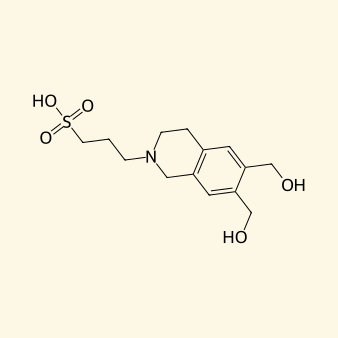 O=S(=O)(O)CCCN1CCc2cc(CO)c(CO)cc2C1